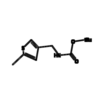 Cc1cc(CNC(=O)OC(C)(C)C)cs1